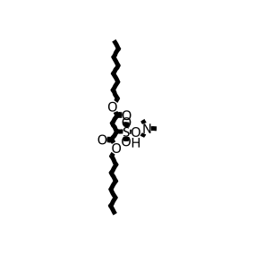 CCCCCCCCOC(=O)CC(C(=O)OCCCCCCCC)S(=O)(=O)O.CN(C)C